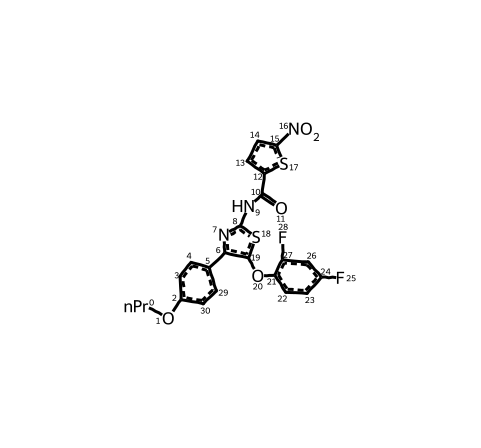 CCCOc1ccc(-c2nc(NC(=O)c3ccc([N+](=O)[O-])s3)sc2Oc2ccc(F)cc2F)cc1